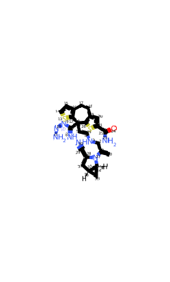 C=C(CNCCC1(C(=N)/N=N\N)c2sccc2CCc2cc(C(N)=O)sc21)N1C(C#N)C[C@@H]2C[C@@H]21